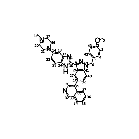 COc1ccc(Cn2nc(-c3nc4cc(N5CCN(C)CC5)ccc4[nH]3)c3cc(-c4cncc5ccccc45)ccc32)cc1